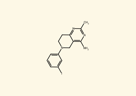 Cc1nc(N)c2c(n1)CCN(c1cccc(I)c1)C2